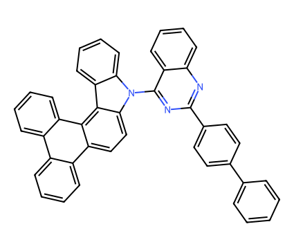 c1ccc(-c2ccc(-c3nc(-n4c5ccccc5c5c6c7ccccc7c7ccccc7c6ccc54)c4ccccc4n3)cc2)cc1